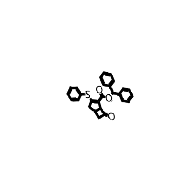 O=C(OC(c1ccccc1)c1ccccc1)C1=C(Sc2ccccc2)CC2CC(=O)C12